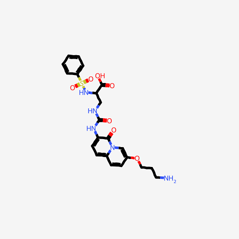 NCCCOc1ccc2ccc(NC(=O)NCC(NS(=O)(=O)c3ccccc3)C(=O)O)c(=O)n2c1